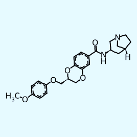 COc1ccc(OC[C@@H]2COc3cc(C(=O)N[C@@H]4C[C@H]5CCN(C5)C4)ccc3O2)cc1